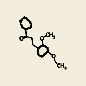 CCOc1ccc(CCC(=O)c2ccccc2)c(OC)c1